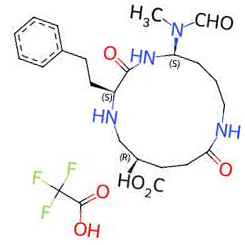 CN(C=O)[C@H]1CCCNC(=O)CC[C@@H](C(=O)O)CN[C@@H](CCc2ccccc2)C(=O)N1.O=C(O)C(F)(F)F